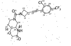 O=C1CO[C@H]2CCN(C(=O)N3CC(C#Cc4ccc(C(F)(F)F)cc4Cl)C3)C[C@H]2N1